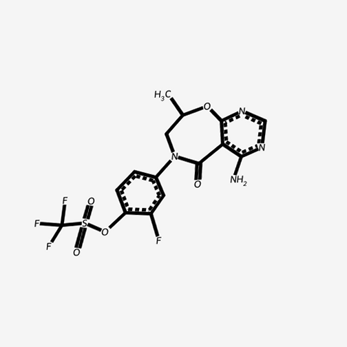 CC1CN(c2ccc(OS(=O)(=O)C(F)(F)F)c(F)c2)C(=O)c2c(N)ncnc2O1